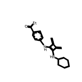 C=C1C(=C)C(NC2CCCCC2)=C1Nc1ccc(C(=O)CC)cc1